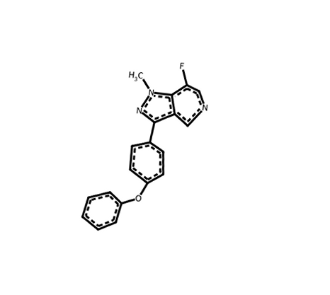 Cn1nc(-c2ccc(Oc3ccccc3)cc2)c2cncc(F)c21